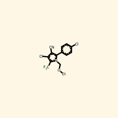 CCOCn1c(-c2ccc(Cl)cc2)c(C#N)c(Cl)c1C(F)(F)F